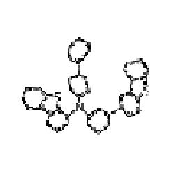 c1ccc(-c2ccc(N(c3cccc(-c4ccc5sc6ccccc6c5c4)c3)c3cccc4c3sc3ccccc34)cc2)cc1